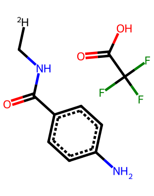 O=C(O)C(F)(F)F.[2H]CNC(=O)c1ccc(N)cc1